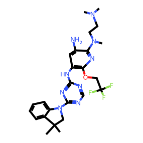 CN(C)CCN(C)c1nc(OCC(F)(F)F)c(Nc2ncnc(N3CC(C)(C)c4ccccc43)n2)cc1N